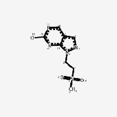 CS(=O)(=O)CCn1ncc2cnc(Cl)nc21